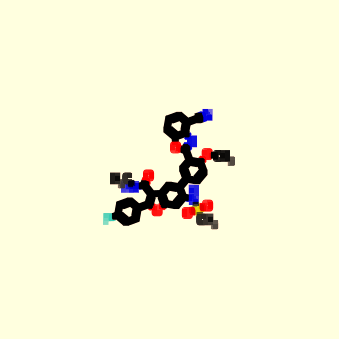 CNC(=O)c1c(-c2ccc(F)cc2)oc2cc(NS(C)(=O)=O)c(-c3ccc(OC)c(-c4nc5c(C#N)cccc5o4)c3)cc12